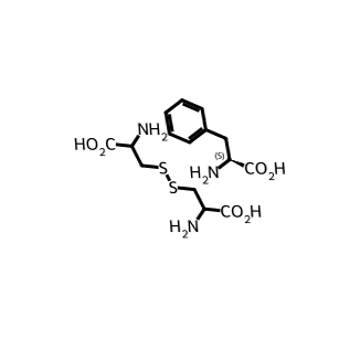 NC(CSSCC(N)C(=O)O)C(=O)O.N[C@@H](Cc1ccccc1)C(=O)O